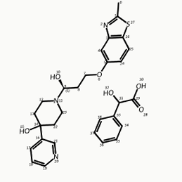 Cc1nc2cc(OCC[C@H](O)N3CCC(O)(c4cccnc4)CC3)ccc2s1.O=C(O)C(O)c1ccccc1